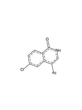 CC(=O)c1c[nH]c(=O)c2ccc(Cl)cc12